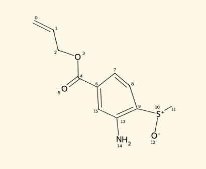 C=CCOC(=O)c1ccc([S+](C)[O-])c(N)c1